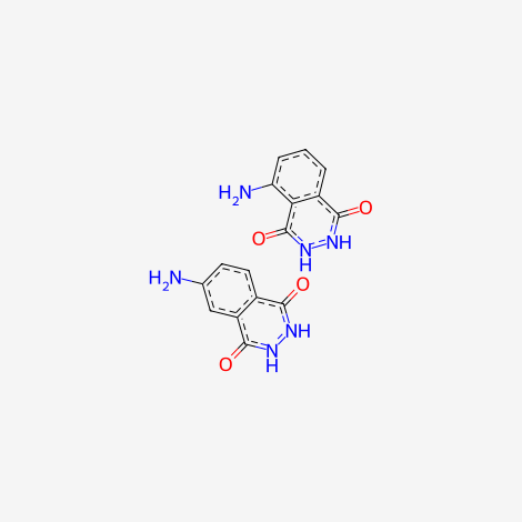 Nc1ccc2c(=O)[nH][nH]c(=O)c2c1.Nc1cccc2c(=O)[nH][nH]c(=O)c12